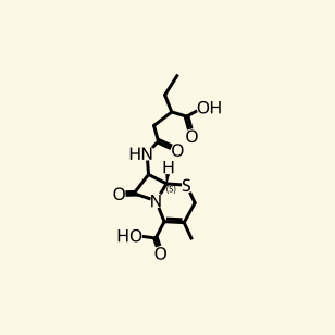 CCC(CC(=O)NC1C(=O)N2C(C(=O)O)=C(C)CS[C@@H]12)C(=O)O